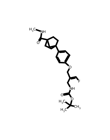 CNC(=O)C12CCC(c3ccc(OCC(=CF)CNC(=O)OC(C)(C)C)cc3)(CC1)C2